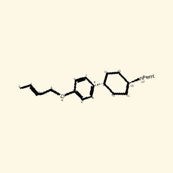 CC=CCOc1ccc([C@H]2CC[C@H](CCCCC)CC2)cc1